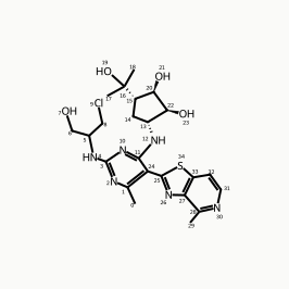 Cc1nc(NC(CO)CCl)nc(N[C@@H]2C[C@H](C(C)(C)O)[C@@H](O)[C@H]2O)c1-c1nc2c(C)nccc2s1